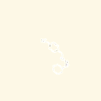 N#Cc1ccc(CO/N=[C]\C2CCCCC2)cc1